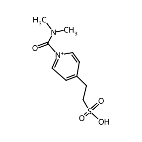 CN(C)C(=O)[n+]1ccc(CCS(=O)(=O)O)cc1